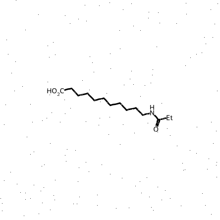 CCC(=O)NCCCCCCCCCCC(=O)O